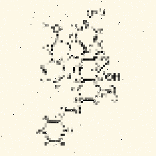 COC(=O)CC(c1ccccc1)[C@]1(c2ccc(OC)cc2)Oc2cc(OCc3ccccc3)cc(OC)c2[C@@](C)(O)C1=O